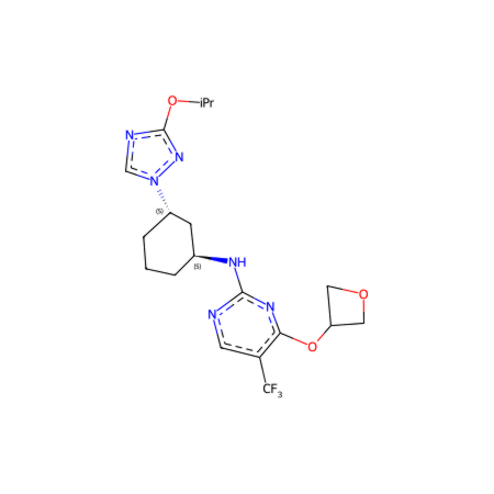 CC(C)Oc1ncn([C@H]2CCC[C@H](Nc3ncc(C(F)(F)F)c(OC4COC4)n3)C2)n1